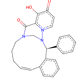 O=C1c2c(O)c(=O)ccn2N2CN1CCC/C=C\c1ccccc1[C@@H]2c1ccccc1